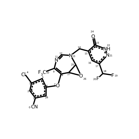 N#Cc1cc(Cl)cc(OC2=C(C(F)(F)F)N=CN(Cc3cc(C(F)F)n[nH]c3=O)C3OC23)c1